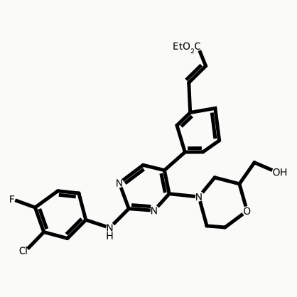 CCOC(=O)/C=C/c1cccc(-c2cnc(Nc3ccc(F)c(Cl)c3)nc2N2CCOC(CO)C2)c1